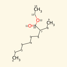 CCCCCCCC(CC)C(=O)OCC